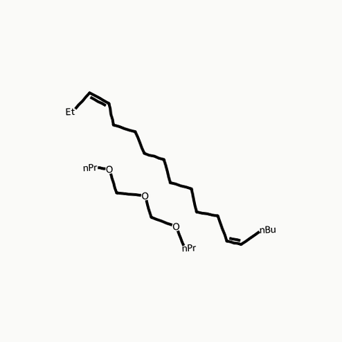 CC/C=C\CCCCCCCC/C=C\CCCC.CCCOCOCOCCC